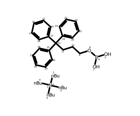 CCCC[N+](CCCC)(CCCC)CCCC.OB(O)OCCCC(c1ccccc1)(c1ccccc1)c1ccccc1